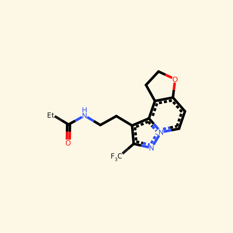 CCC(=O)NCCc1c(C(F)(F)F)nn2ccc3c(c12)CCO3